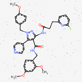 COc1ccc(Cn2nc(NC(=O)CCc3cccc(F)n3)c(C(=O)NCc3ccc(OC)cc3OC)c2-c2ccncc2)cc1